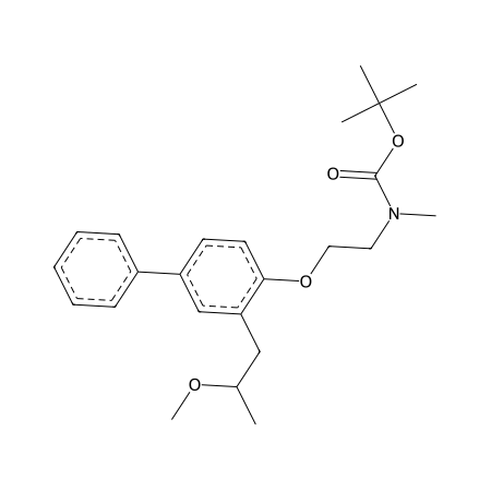 COC(C)Cc1cc(-c2ccccc2)ccc1OCCN(C)C(=O)OC(C)(C)C